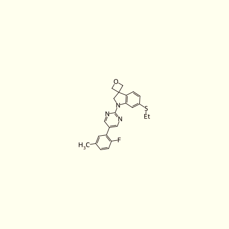 CCSc1ccc2c(c1)N(c1ncc(-c3cc(C)ccc3F)cn1)CC21COC1